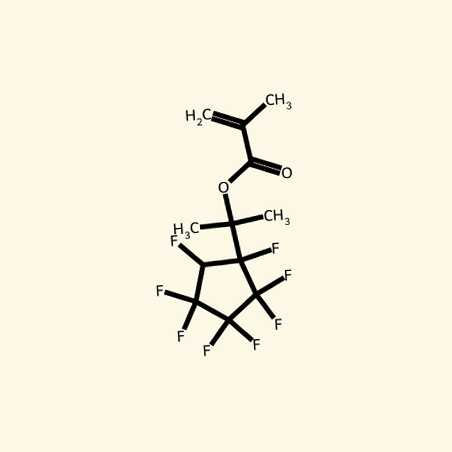 C=C(C)C(=O)OC(C)(C)C1(F)C(F)C(F)(F)C(F)(F)C1(F)F